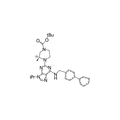 CC(C)n1cnc2c(NCc3ccc(-c4ccccc4)cc3)nc(N3CCN(C(=O)OC(C)(C)C)C[C@@H]3C)nc21